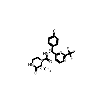 C[C@@H]1C(=O)NCCN1C(=O)N[C@H](c1ccc(Cl)cc1)c1ccnc(C(F)(F)F)n1